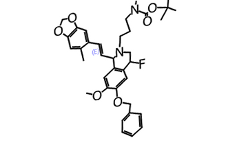 COc1cc2c(cc1OCc1ccccc1)C(F)CN(CCCN(C)C(=O)OC(C)(C)C)C2/C=C/c1cc2c(cc1C)OCO2